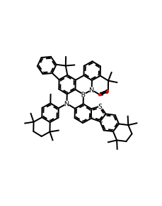 Cc1cc2c(cc1N1c3cc4c(c5c3B(c3c1ccc1c3sc3cc6c(cc31)C(C)(C)CCC6(C)C)N1c3ccccc3C(C)(C)c3cccc-5c31)C(C)(C)c1ccccc1-4)C(C)(C)CCC2(C)C